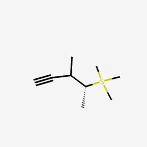 C#CC(C)[C@@H](C)S(C)(C)C